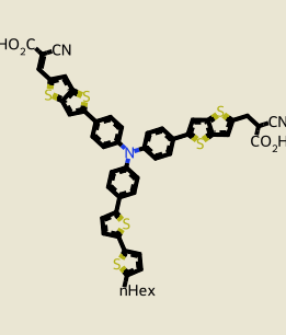 CCCCCCc1ccc(-c2ccc(-c3ccc(N(c4ccc(-c5cc6sc(/C=C(\C#N)C(=O)O)cc6s5)cc4)c4ccc(-c5cc6sc(CC(C#N)C(=O)O)cc6s5)cc4)cc3)s2)s1